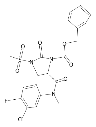 CN(C(=O)[C@@H]1CN(S(C)(=O)=O)C(=O)N1C(=O)OCc1ccccc1)c1ccc(F)c(Cl)c1